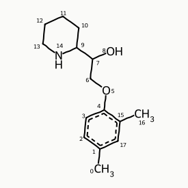 Cc1ccc(OCC(O)C2CCCCN2)c(C)c1